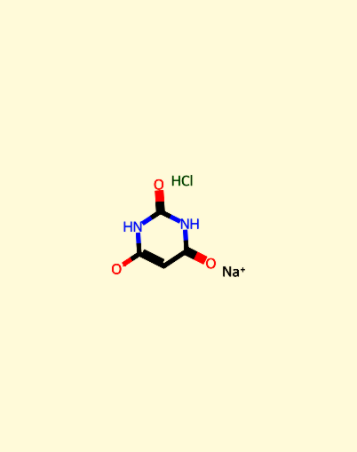 Cl.O=c1cc([O-])[nH]c(=O)[nH]1.[Na+]